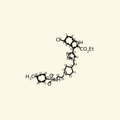 CCOC(=O)c1[nH]c2ccc(Cl)cc2c1-c1cn(CC2CCN(CCNS(=O)(=O)c3ccc(C)cc3)CC2)nn1